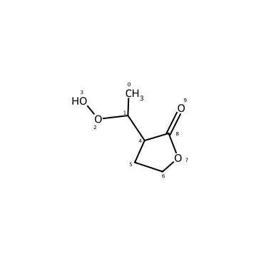 CC(OO)C1CCOC1=O